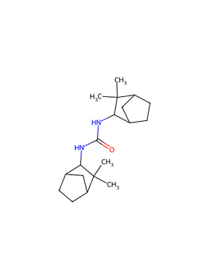 CC1(C)C2CCC(C2)C1NC(=O)NC1C2CCC(C2)C1(C)C